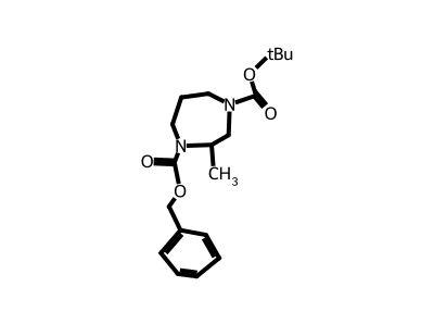 CC1CN(C(=O)OC(C)(C)C)CCCN1C(=O)OCc1ccccc1